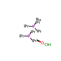 CC(C)P(C(C)C)C(C)C.CC(C)P(C(C)C)C(C)C.Cl.[C]=O.[Ru]